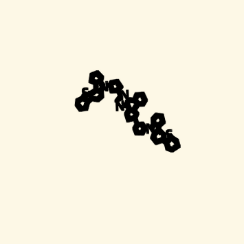 c1cc(-c2ccc3c(c2)c2ccccc2c2nc(-c4cccc(-n5c6ccccc6c6c7sc8ccccc8c7ccc65)c4)cnc32)cc(-n2c3ccccc3c3c4sc5ccccc5c4ccc32)c1